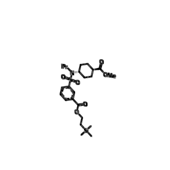 COC(=O)[C@H]1CC[C@H](N(C(C)C)S(=O)(=O)c2cccc(C(=O)OCC[Si](C)(C)C)c2)CC1